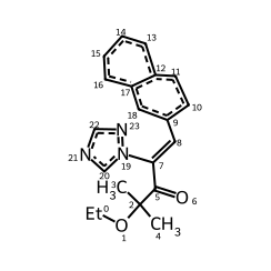 CCOC(C)(C)C(=O)C(=Cc1ccc2ccccc2c1)n1cncn1